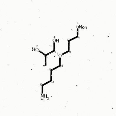 CC(O)CO.CCCCCCCCCCCCOCCCCN